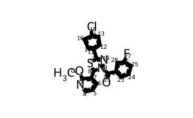 COc1ncccc1C1SC(c2ccc(Cl)cc2)=NN1C(=O)c1cccc(F)c1